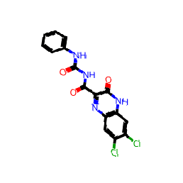 O=C(NC(=O)c1nc2cc(Cl)c(Cl)cc2[nH]c1=O)Nc1ccccc1